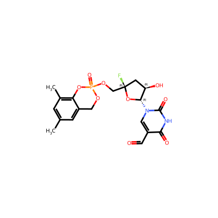 Cc1cc(C)c2c(c1)COP(=O)(OC[C@]1(F)C[C@@H](O)[C@H](n3cc(C=O)c(=O)[nH]c3=O)O1)O2